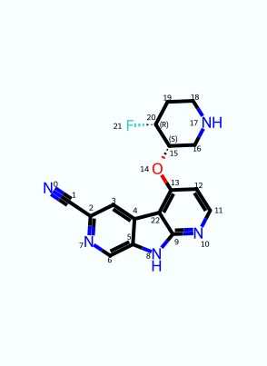 N#Cc1cc2c(cn1)[nH]c1nccc(O[C@H]3CNCC[C@H]3F)c12